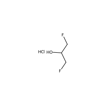 Cl.OC(CF)CF